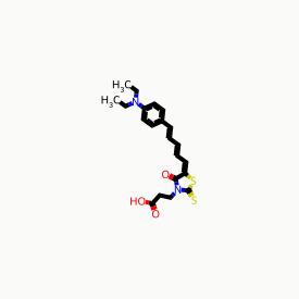 CCN(CC)c1ccc(C=CC=CC=C2SC(=S)N(CCC(=O)O)C2=O)cc1